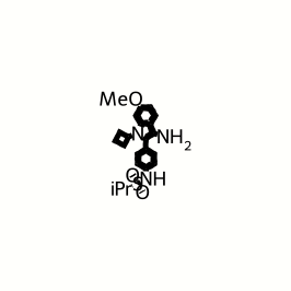 COc1ccc2c(N)c(-c3ccc(NS(=O)(=O)C(C)C)cc3)n(C3CCC3)c2c1